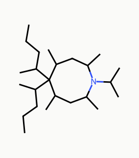 CCCC(C)C1(C(C)CCC)C(C)CC(C)N(C(C)C)C(C)CC1C